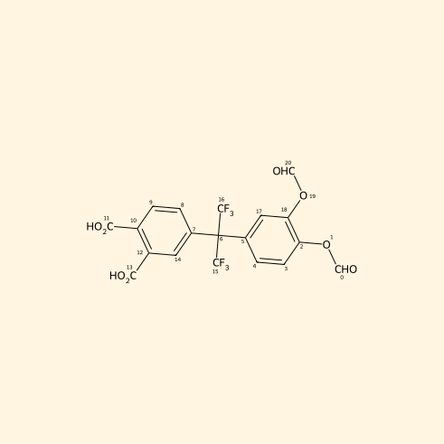 O=COc1ccc(C(c2ccc(C(=O)O)c(C(=O)O)c2)(C(F)(F)F)C(F)(F)F)cc1OC=O